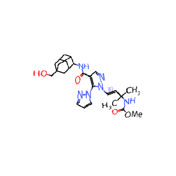 COC(=O)NC(C)(C)/C=C/n1ncc(C(=O)NC2C3CC4CC2CC(CO)(C4)C3)c1-n1cccn1